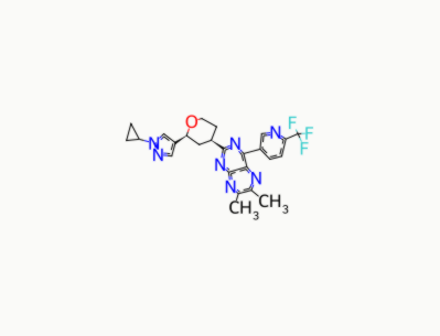 Cc1nc2nc([C@@H]3CCO[C@H](c4cnn(C5CC5)c4)C3)nc(-c3ccc(C(F)(F)F)nc3)c2nc1C